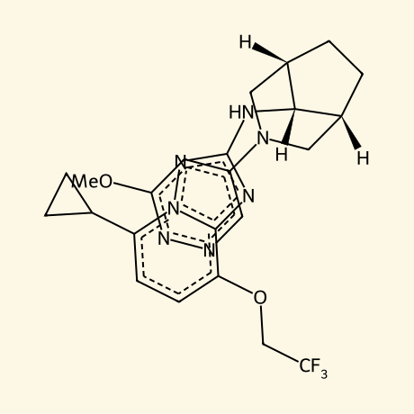 COc1cc(N2C[C@H]3CC[C@@H](C2)[C@H]3Nc2nc3c(OCC(F)(F)F)ccc(C4CC4)n3n2)cnn1